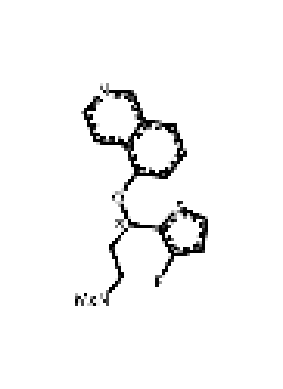 CNCC[C@@H](Oc1cccc2cnccc12)c1sccc1F